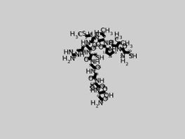 CSCC[C@H](NC(=O)[C@H](CC(C)C)NC(=O)[C@@H]1CCCN1C(=O)[C@@H](NC(=O)[C@@H](N)CS)C(C)C)C(=O)N[C@@H](CCCNC(=N)N)C(=O)N[C@@H](CS)C(=O)NCC(=O)NCC(=O)N[C@@H](CS)C(=O)N[C@@H](CC(N)=O)C(=O)O